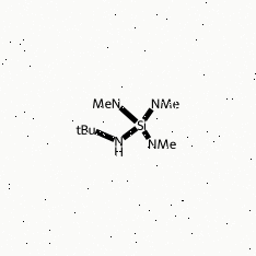 CN[Si](NC)(NC)NC(C)(C)C